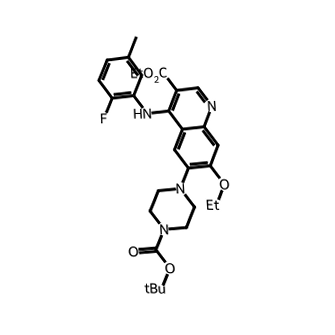 CCOC(=O)c1cnc2cc(OCC)c(N3CCN(C(=O)OC(C)(C)C)CC3)cc2c1Nc1cc(C)ccc1F